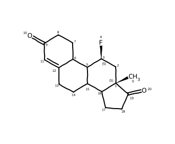 C[C@]12C[C@H](F)C3C4CCC(=O)C=C4CCC3C1CCC2=O